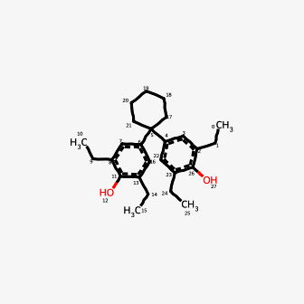 CCc1cc(C2(c3cc(CC)c(O)c(CC)c3)CCCCC2)cc(CC)c1O